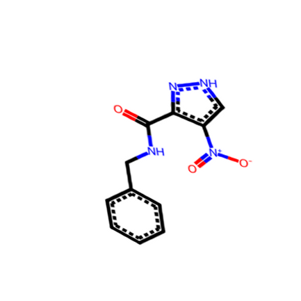 O=C(NCc1ccccc1)c1n[nH]cc1[N+](=O)[O-]